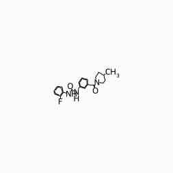 CC1CCN(C(=O)c2cccc(NC(=O)Nc3ccccc3F)c2)CC1